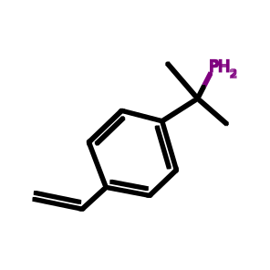 C=Cc1ccc(C(C)(C)P)cc1